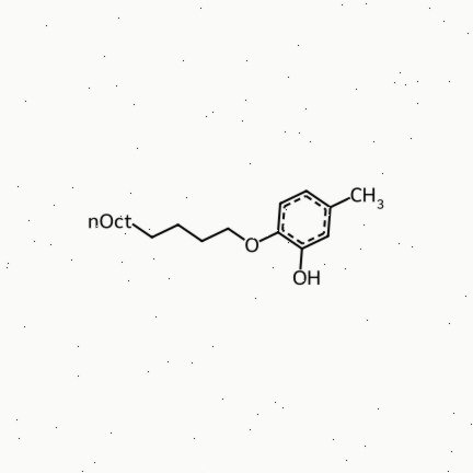 CCCCCCCCCCCCOc1ccc(C)cc1O